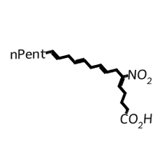 CCCCCC=CCC=CCC=CCC(=CCCCC(=O)O)[N+](=O)[O-]